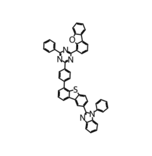 c1ccc(-c2nc(-c3ccc(-c4cccc5c4sc4ccc(-c6nc7ccccc7n6-c6ccccc6)cc45)cc3)nc(-c3cccc4c3oc3ccccc34)n2)cc1